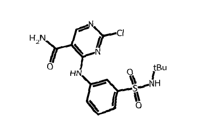 CC(C)(C)NS(=O)(=O)c1cccc(Nc2nc(Cl)ncc2C(N)=O)c1